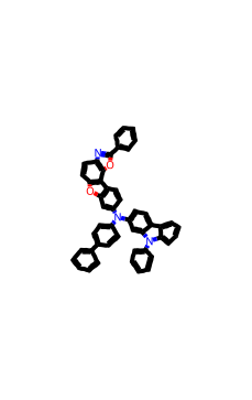 c1ccc(-c2ccc(N(c3ccc4c(c3)oc3ccc5nc(-c6ccccc6)oc5c34)c3ccc4c5ccccc5n(-c5ccccc5)c4c3)cc2)cc1